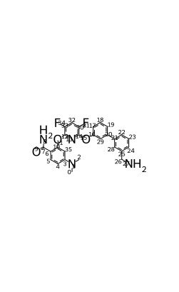 CN(C)c1ccc(C(N)=O)c(Oc2nc(Oc3cccc(-c4cccc(CN)c4)c3)c(F)cc2F)c1